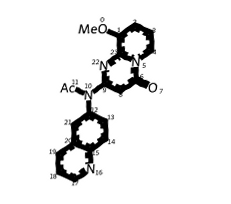 COc1cccn2c(=O)cc(N(C(C)=O)c3ccc4ncccc4c3)nc12